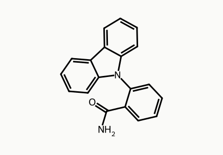 NC(=O)c1ccccc1-n1c2ccccc2c2ccccc21